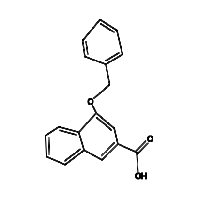 O=C(O)c1cc(OCc2ccccc2)c2ccccc2c1